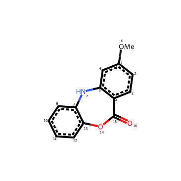 COc1ccc2c(c1)Nc1ccccc1OC2=O